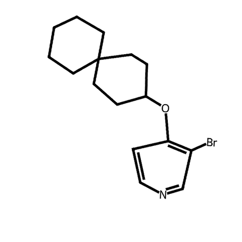 Brc1cnccc1OC1CCC2(CCCCC2)CC1